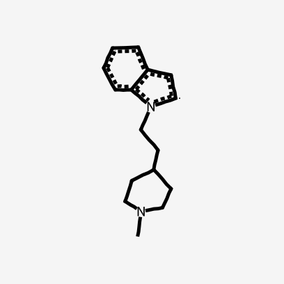 CN1CCC(CCn2[c]cc3ccccc32)CC1